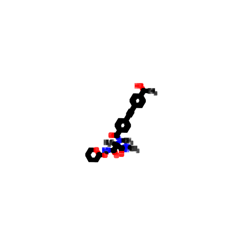 CNC(=O)C(C)(C(=O)NOC1CCCCO1)N(C)C(=O)c1ccc(C#Cc2ccc(C(C)O)cc2)cc1